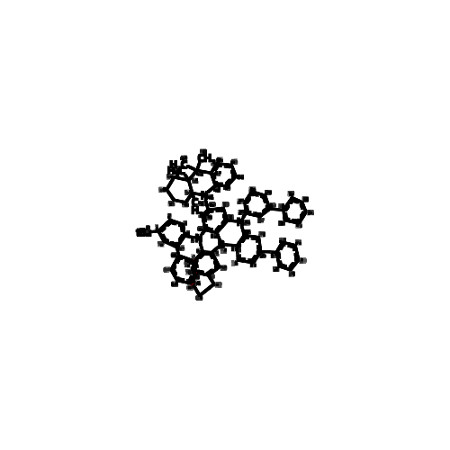 CC(C)(C)c1ccc(N2c3cc4c(cc3B3c5ccc(-c6ccccc6)cc5N(c5cccc(-c6ccccc6)c5)c5cc(N6c7ccccc7C(C)(C)C7(C)CCCCC67C)cc2c53)CCC4)c(-c2ccccc2)c1